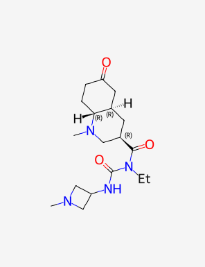 CCN(C(=O)NC1CN(C)C1)C(=O)[C@@H]1C[C@@H]2CC(=O)CC[C@H]2N(C)C1